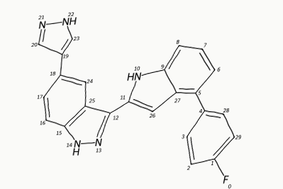 Fc1ccc(-c2cccc3[nH]c(-c4n[nH]c5ccc(-c6cn[nH]c6)cc45)cc23)cc1